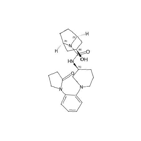 O=C1CCCN1c1ccccc1N1CCC[C@H](NC(=O)N2[C@@H]3CC[C@H]2C[C@@H](O)C3)C1